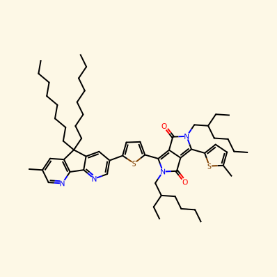 CCCCCCCCC1(CCCCCCCC)c2cc(C)cnc2-c2ncc(-c3ccc(C4=C5C(=O)N(CC(CC)CCCC)C(c6ccc(C)s6)=C5C(=O)N4CC(CC)CCCC)s3)cc21